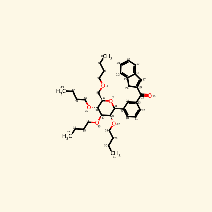 CCCCOC[C@H]1O[C@@H](c2cccc(C(=O)C3=Cc4ccccc4C3)c2)[C@H](OCCCC)[C@@H](OCCCC)[C@@H]1OCCCC